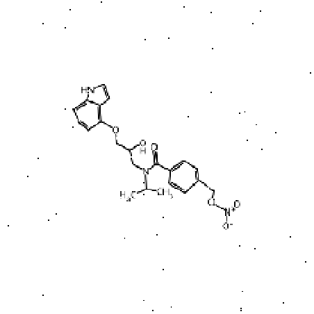 CC(C)N(CC(O)COc1cccc2[nH]ccc12)C(=O)c1ccc(CO[N+](=O)[O-])cc1